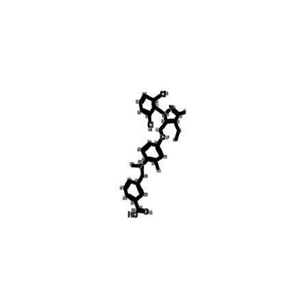 CCc1c(C)nn(-c2c(Cl)cccc2Cl)c1COc1ccc(N(C)Cc2cccc(C(=O)O)c2)c(C)c1